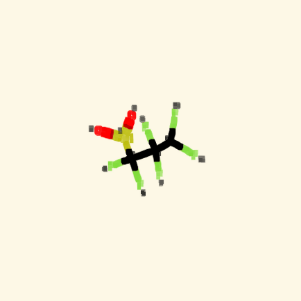 O=[SH](=O)C(F)(F)C(F)(F)C(F)F